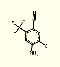 N#Cc1cc(Cl)c(N)cc1C(F)(F)F